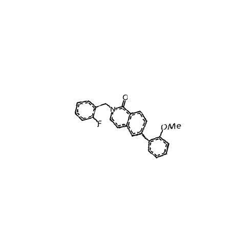 COc1ccccc1-c1ccc2c(=O)n(Cc3ccccc3F)ccc2c1